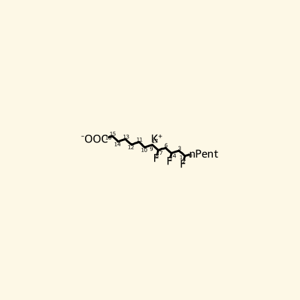 CCCCCC(F)CC(F)CC(F)CCCCCCCC(=O)[O-].[K+]